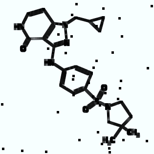 CC1(C)CCN(S(=O)(=O)c2ccc(Nc3nn(CC4CC4)c4cc[nH]c(=O)c34)cc2)C1